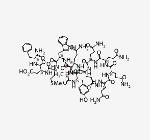 CSCC[C@H](NC(=O)[C@H](Cc1c[nH]c2ccccc12)NC(=O)CNC(=O)[C@H](Cc1ccc(O)cc1)NC(=O)[C@H](C)NC(=O)[C@@H](CCC(N)=O)NC(=O)[C@@H](CCC(N)=O)NC(=O)[C@@H](CCC(N)=O)NC(=O)[C@@H](CCC(N)=O)NC(=O)[C@@H](CCC(N)=O)NC(=O)[C@H](N)CCC(N)=O)C(=O)N[C@@H](CC(=O)O)C(=O)N[C@@H](Cc1ccccc1)C(N)=O